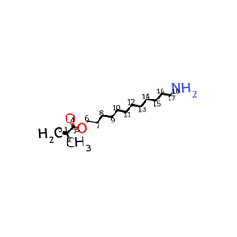 C=C(C)C(=O)OCCCCCCCCCCCCN